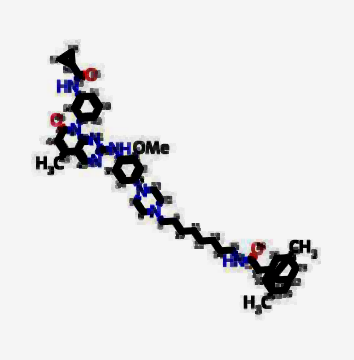 COc1cc(N2CCN(CCCCCCCCNC(=O)CC34CC5C[C@@](C)(C3)C[C@](C)(C5)C4)CC2)ccc1Nc1ncc2c(C)cc(=O)n(-c3cccc(NC(=O)C4CC4)c3)c2n1